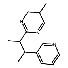 CC1C=NC(C(C)C(C)c2cccnc2)=NC1